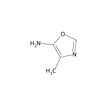 Cc1ncoc1N